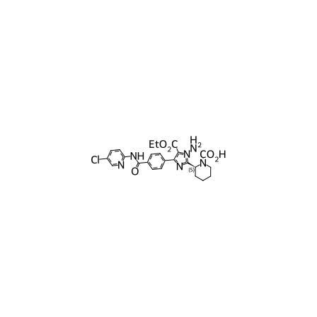 CCOC(=O)c1c(-c2ccc(C(=O)Nc3ccc(Cl)cn3)cc2)nc([C@@H]2CCCCN2C(=O)O)n1N